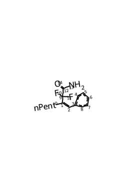 CCCCCC(=Cc1ccccc1)C(F)(F)C(N)=O